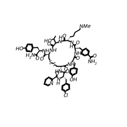 CNCCCC[C@@H]1NC(=O)[C@@H](Cc2ccc(C(N)=O)cc2)NC(=O)[C@H](Cc2ccc(O)cc2)NC(=O)[C@H](NC(=O)[C@H](Cc2ccc(Cl)cc2)NC(=O)c2ccccn2)CSSC[C@@H](C(=O)N[C@H](Cc2ccc(O)cc2)C(N)=O)NC(=O)C(C(C)O)NC1=O